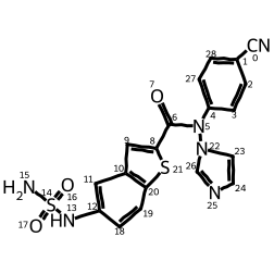 N#Cc1ccc(N(C(=O)c2cc3cc(NS(N)(=O)=O)ccc3s2)n2ccnc2)cc1